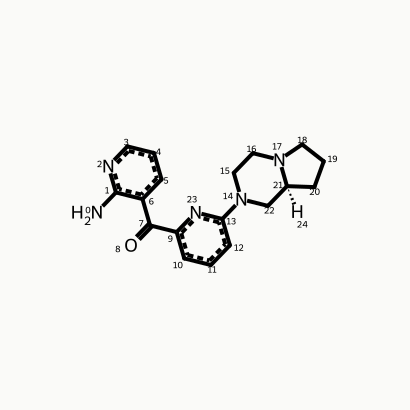 Nc1ncccc1C(=O)c1cccc(N2CCN3CCC[C@H]3C2)n1